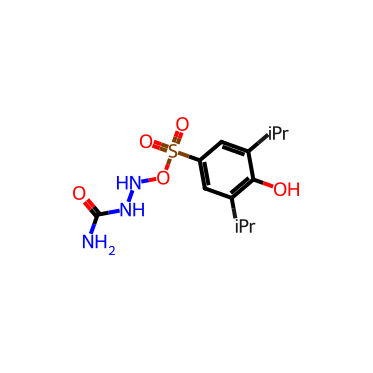 CC(C)c1cc(S(=O)(=O)ONNC(N)=O)cc(C(C)C)c1O